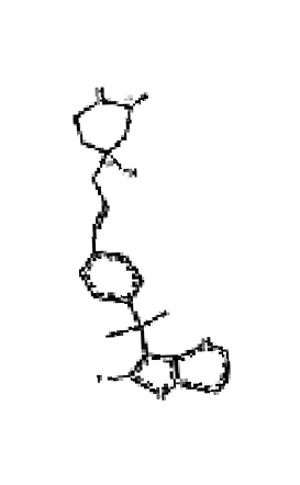 CCc1nn2cccnc2c1C(C)(C)c1ccc(C=CC[C@]2(O)CCN[C@@H](C)C2)cc1